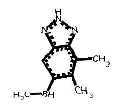 CBc1cc2n[nH]nc2c(C)c1C